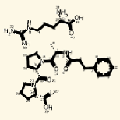 C[C@H](NC(=O)CCc1ccccc1)C(=O)N1CCC[C@H]1C(=O)N1CCC[C@H]1C(=O)O.N=C(N)NCCC[C@H](N)C(=O)O